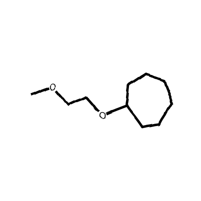 COCCOC1CCCCCC1